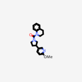 COc1ccc(C2CCN(C(=O)N3CCCc4ccccc43)C2)cn1